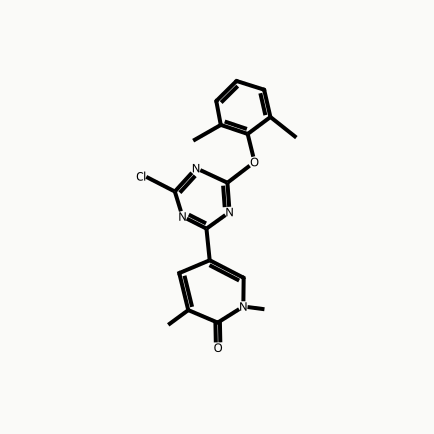 Cc1cccc(C)c1Oc1nc(Cl)nc(-c2cc(C)c(=O)n(C)c2)n1